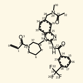 C=CC(=O)N1CCCC(n2c(NC(=O)c3cccc(C(F)(F)F)c3)nc3cc(CN(C)C(C)=O)ccc32)C1